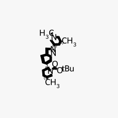 C[C@@H]1C[C@@H](n2cc3ccc([C@H]4CC[C@H](C)CN4C(=O)OC(C)(C)C)cc3n2)CN(C)C1